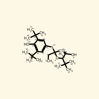 CCC(C)(OC(C(=O)O)C(C)(C)C)Sc1cc(C(C)(C)C)c(O)c(C(C)(C)C)c1